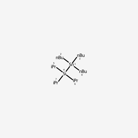 CCC[CH2][Sn]([CH2]CCC)([CH2]CCC)[Si](C(C)C)(C(C)C)C(C)C